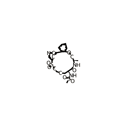 C[C@@H]1COc2ccccc2-c2cncc(c2)S(=O)(=O)CCCC[C@H](NS(C)(=O)=O)C(=O)N1